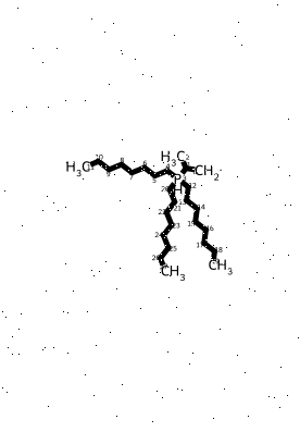 [CH2]C(C)[PH](CCCCCCCC)(CCCCCCCC)CCCCCCCC